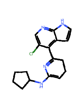 Clc1cnc2[nH]ccc2c1C1=NC(NC2CCCC2)=CCC1